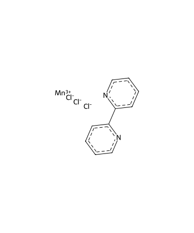 [Cl-].[Cl-].[Cl-].[Mn+3].c1ccc(-c2ccccn2)nc1